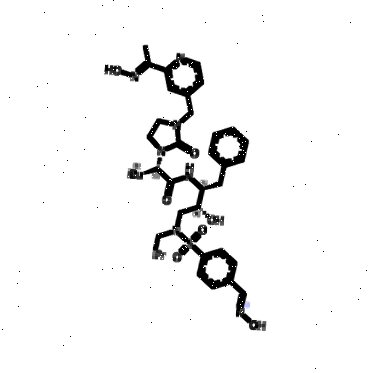 CC[C@H](C)[C@@H](C(=O)N[C@@H](Cc1ccccc1)[C@H](O)CN(CC(C)C)S(=O)(=O)c1ccc(/C=N/O)cc1)N1CCN(Cc2ccnc(C(C)=NO)c2)C1=O